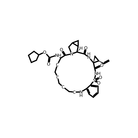 C=C[C@@H]1C[C@@]12NC(=O)[C@@H]1C3CC3CN1C(=O)[C@@H](NC(=O)OC1CCCC1)CCCCCCCNc1ccccc1S(=O)(=O)NC2=O